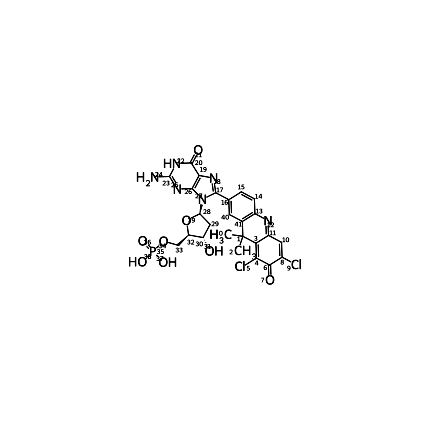 CC1(C)C2=C(Cl)C(=O)C(Cl)=CC2=Nc2ccc(-c3nc4c(=O)[nH]c(N)nc4n3[C@H]3C[C@H](O)[C@@H](COP(=O)(O)O)O3)cc21